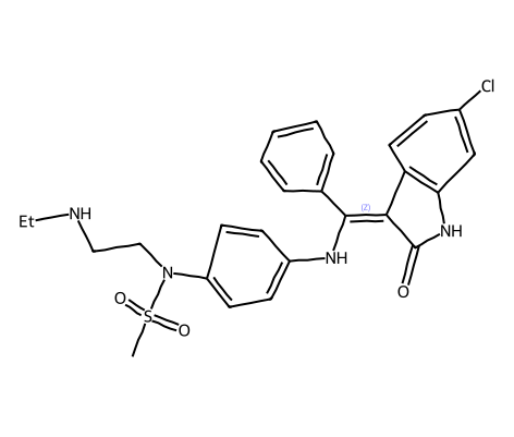 CCNCCN(c1ccc(N/C(=C2\C(=O)Nc3cc(Cl)ccc32)c2ccccc2)cc1)S(C)(=O)=O